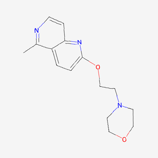 Cc1nccc2nc(OCCN3CCOCC3)ccc12